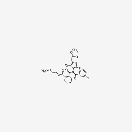 COCCOC(=O)C1=C(C(=O)N(C(=O)c2cccc(F)c2)c2c(F)sc(CC(=O)OC)c2Cl)CCCC1